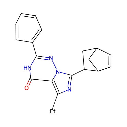 CCc1nc(C2CC3C=CC2C3)n2nc(-c3ccccc3)[nH]c(=O)c12